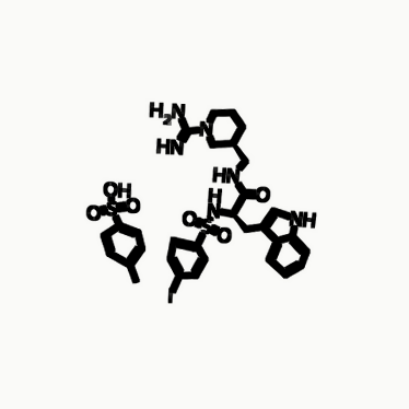 Cc1ccc(S(=O)(=O)O)cc1.N=C(N)N1CCC[C@@H](CNC(=O)[C@@H](Cc2c[nH]c3ccccc23)NS(=O)(=O)c2ccc(I)cc2)C1